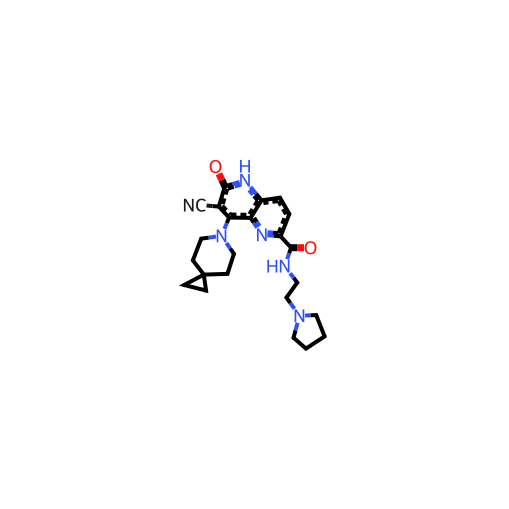 N#Cc1c(N2CCC3(CC2)CC3)c2nc(C(=O)NCCN3CCCC3)ccc2[nH]c1=O